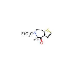 CCOC(=O)N1CCc2sccc2C(=O)[C@H]1C